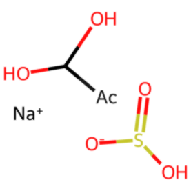 CC(=O)C(O)O.O=S([O-])O.[Na+]